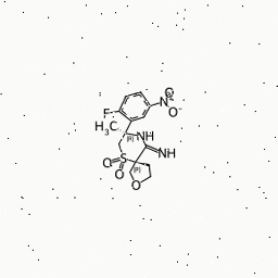 C[C@@]1(c2cc([N+](=O)[O-])ccc2F)CS(=O)(=O)[C@]2(CCOC2)C(=N)N1